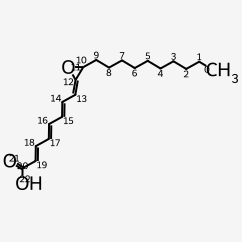 CCCCCCCCCCC1OC1=CC=CC=CC=CC(=O)O